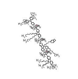 C=CCCCC1(CCCC=C)c2cc(C(C)(C)C)ccc2-c2ccc(C(C)(CC)C(C)(C)c3ccc4c(c3)C(CCCCCc3ccc5c(c3)CC5)(c3ccc(CCCCCC)cc3)c3cc(C(C)(CC)C(C)(C)c5ccc6c(c5)C(CCCCCCCC)(CCCCCCCC)c5cc([C@@](C)(CC)C(C)(C)c7ccc(N(c8ccc(C(C)CC)cc8)c8ccc(C(C)(C)CC)cc8)cc7)ccc5-6)ccc3-4)cc21